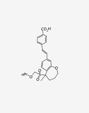 CCCOCS(=O)(=O)C1(C)CCCOc2cc(/C=C/c3ccc(C(=O)O)cc3)ccc21